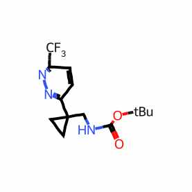 CC(C)(C)OC(=O)NCC1(c2ccc(C(F)(F)F)nn2)CC1